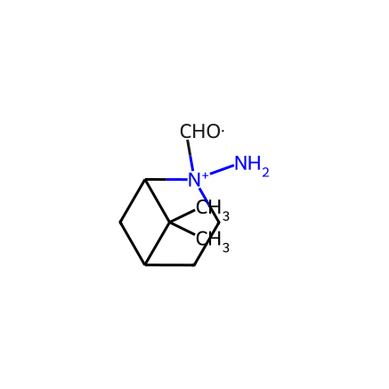 CC1(C)C2CC[N+](N)([C]=O)C1C2